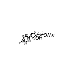 COC=CC[C@@]1(O)CC[C@@H](N2CCN(C)CC2)C1